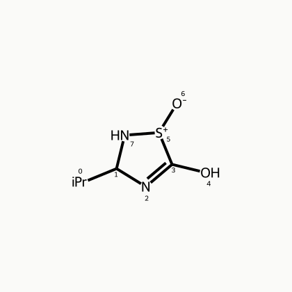 CC(C)C1N=C(O)[S+]([O-])N1